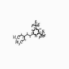 CCC(CC)CCc1cc(C(F)(F)F)cc(C(F)(F)F)c1